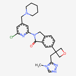 Cn1cnnc1CC1(c2ccc3c(c2)C(=O)N(c2cc(CN4CCCCC4)cc(Cl)n2)C3)COC1